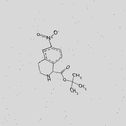 CC(C)(C)OC(=O)C1NCCc2cc([N+](=O)[O-])ccc21